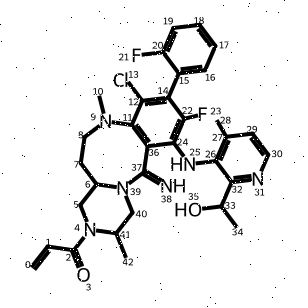 C=CC(=O)N1CC2CCN(C)c3c(Cl)c(-c4ccccc4F)c(F)c(Nc4c(C)ccnc4C(C)O)c3C(=N)N2CC1C